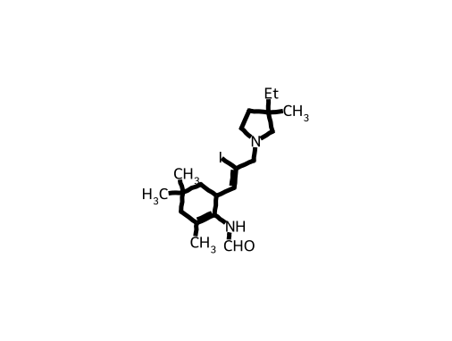 CCC1(C)CCN(C/C(I)=C/C2CC(C)(C)CC(C)=C2NC=O)C1